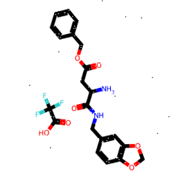 NC(CC(=O)OCc1ccccc1)C(=O)NCc1ccc2c(c1)OCO2.O=C(O)C(F)(F)F